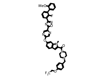 COc1ccccc1-c1cccc(-c2noc(-c3cnc(Oc4ccc5cc(C(=O)N6CCN(Cc7ccc(OCC(F)(F)F)cc7)CC6)n(C)c5c4)cn3)n2)c1F